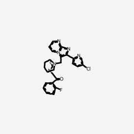 O=C(c1ccccc1F)N1CCC2CCC1CN2Cc1c(-c2ccc(Cl)cn2)nc2ncccn12